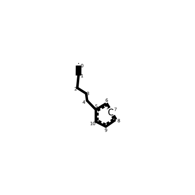 [C]#CCCCc1ccccc1